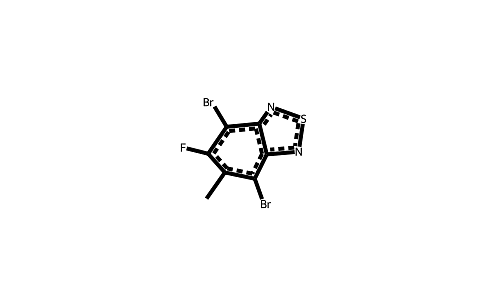 Cc1c(F)c(Br)c2nsnc2c1Br